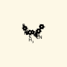 C[C@@H]1C2=C(CC[C@@H]2CN(CC#N)S(=O)(=O)c2ccc(-c3ccccc3)cc2)Cc2c1cnn2-c1ccc(F)cc1